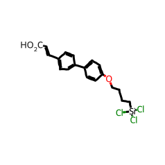 O=C(O)/C=C/c1ccc(-c2ccc(OCCCC[Si](Cl)(Cl)Cl)cc2)cc1